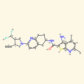 CNC1CN(c2ccc3c(n2)CCC(NC(=O)c2sc4nc(C)cc(C)c4c2N)C3)CC1C(F)F